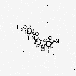 Cc1ccc(C(=O)N[C@H]2CC[C@H](N(C)c3ccc(C#N)c(Cl)c3)CC2)cn1